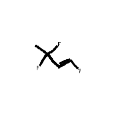 CC(F)(F)C=CF